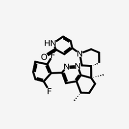 C[C@H]1CC[C@](C)([C@H]2CCCN(c3cc[nH]c(=O)c3)C2)c2nnc(-c3c(F)cccc3F)cc21